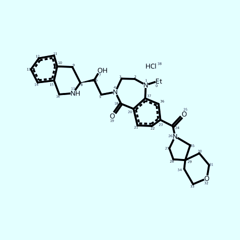 CCN1CCN(CC(O)[C@@H]2Cc3ccccc3CN2)C(=O)c2ccc(C(=O)N3CCC4(CCOCC4)C3)cc21.Cl